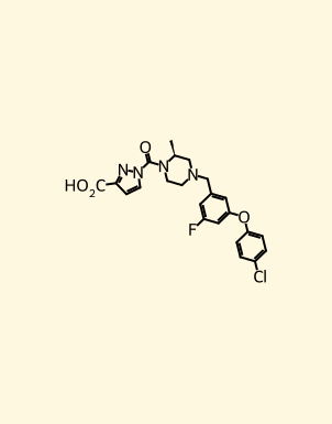 C[C@H]1CN(Cc2cc(F)cc(Oc3ccc(Cl)cc3)c2)CCN1C(=O)n1ccc(C(=O)O)n1